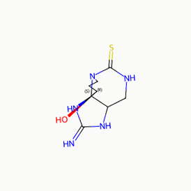 N=C1NC2CNC(=S)N3CC[C@@H](O)[C@]23N1